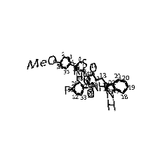 COc1ccc(-c2csc(NC(=O)C(Cc3c[nH]c4ccccc34)NS(=O)(=O)c3ccc(F)cc3)n2)cc1